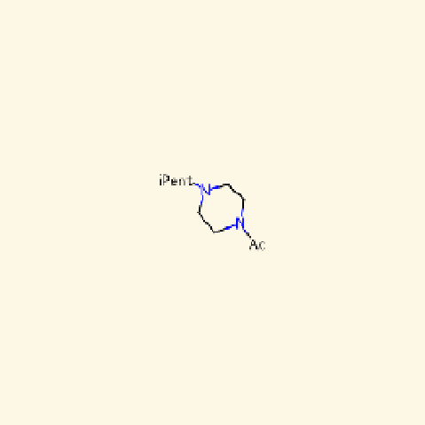 CCCC(C)N1CCN(C(C)=O)CC1